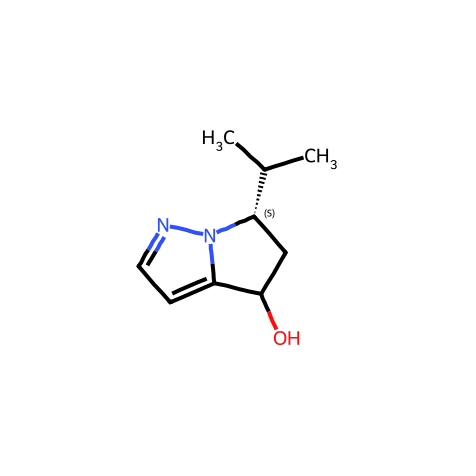 CC(C)[C@@H]1CC(O)c2ccnn21